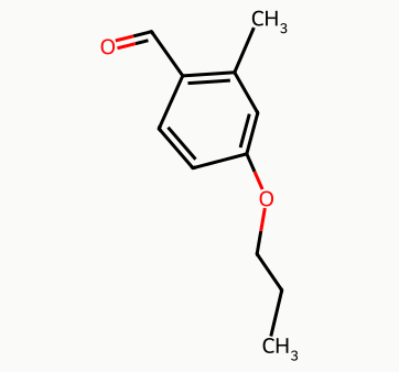 CCCOc1ccc(C=O)c(C)c1